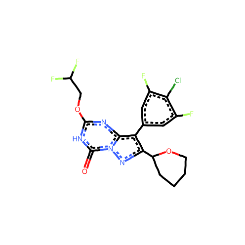 O=c1[nH]c(OCC(F)F)nc2c(-c3cc(F)c(Cl)c(F)c3)c(C3CCCCO3)nn12